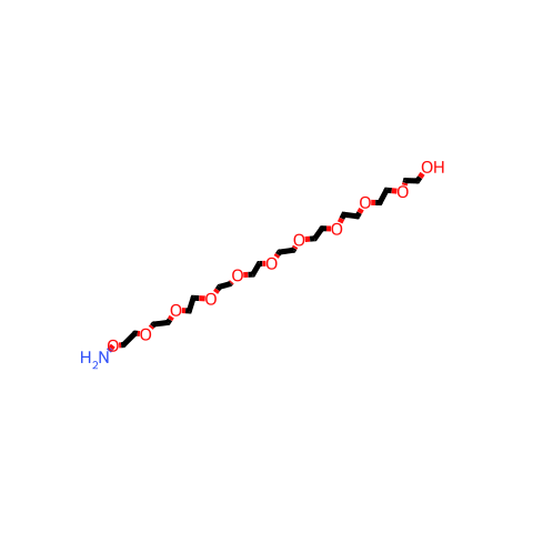 NOCCOCCOCCOCCOCCOCCOCCOCCOCCOCCO